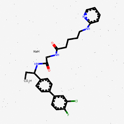 O=C(O)CC(NC(=O)CNC(=O)CCCCNc1ccccn1)c1ccc(-c2ccc(F)c(Cl)c2)cc1.[NaH]